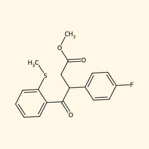 COC(=O)CC(C(=O)c1ccccc1SC)c1ccc(F)cc1